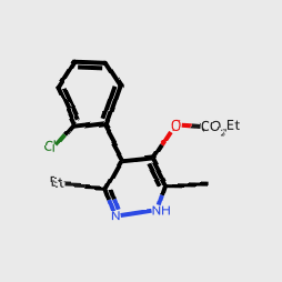 CCOC(=O)OC1=C(C)NN=C(CC)C1c1ccccc1Cl